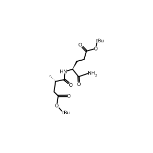 C[C@@H](CC(=O)OC(C)(C)C)C(=O)N[C@@H](CCC(=O)OC(C)(C)C)C(N)=O